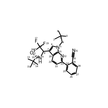 CC(C)(C)Cn1cc(C(N[S@@+]([O-])C(C)(C)C)C(F)(F)F)c2ccc(-c3ccccc3C#N)nc21